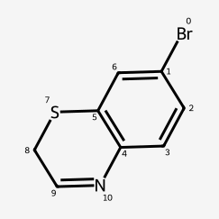 Brc1ccc2c(c1)SCC=N2